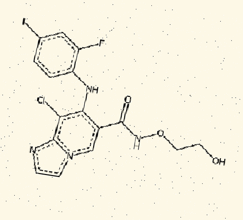 O=C(NOCCO)c1cn2ccnc2c(Cl)c1Nc1ccc(I)cc1F